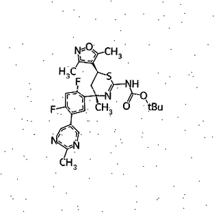 Cc1ncc(-c2cc([C@]3(C)C[C@@H](c4c(C)noc4C)SC(NC(=O)OC(C)(C)C)=N3)c(F)cc2F)cn1